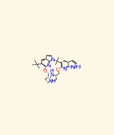 CC(C)(C)c1cc2ccn(C(C)(C)c3cc4cc[nH]c4nc3OCC3CCCN3)c2nc1OCC1CCN1